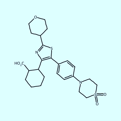 O=C(O)C1CCCCC1c1nc(C2CCOCC2)sc1-c1ccc(N2CCS(=O)(=O)CC2)cc1